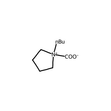 CCCC[N+]1(C(=O)[O-])CCCC1